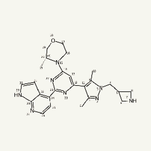 Cc1nn(CC2CNC2)c(C)c1-c1cc(N2CCOC[C@H]2C)nc(-c2ccnc3[nH]ccc23)n1